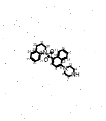 O=S(=O)(c1ccc(N2CCNCC2)c2ccccc12)N1CCCc2ccccc21